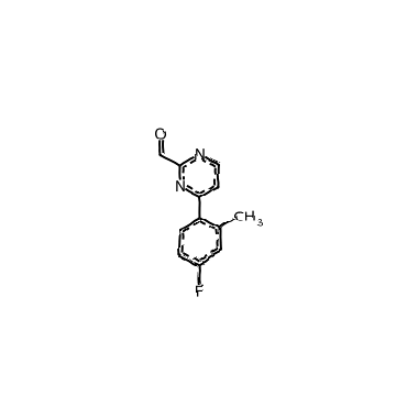 Cc1cc(F)ccc1-c1ccnc(C=O)n1